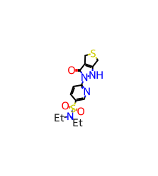 CCN(CC)S(=O)(=O)c1ccc(-n2[nH]c3c(c2=O)CSC3)nc1